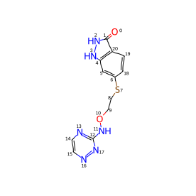 O=c1[nH][nH]c2cc(SCCONc3nccnn3)ccc12